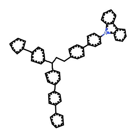 c1ccc(-c2ccc(-c3ccc(C(CCc4ccc(-c5ccc(-n6c7ccccc7c7ccccc76)cc5)cc4)c4ccc(-c5ccccc5)cc4)cc3)cc2)cc1